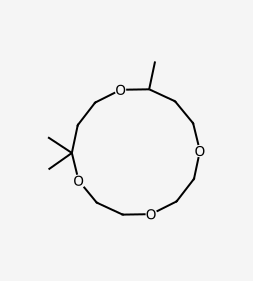 CC1CCOCCOCCOC(C)(C)CCO1